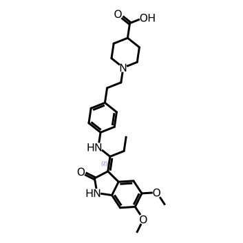 CC/C(Nc1ccc(CCN2CCC(C(=O)O)CC2)cc1)=C1/C(=O)Nc2cc(OC)c(OC)cc21